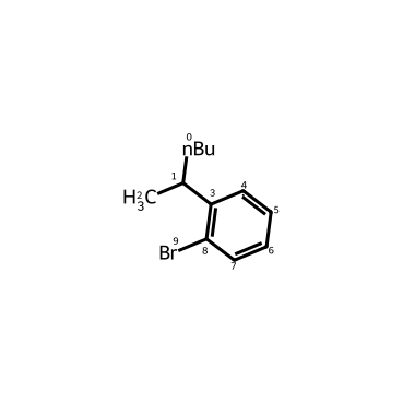 CCCCC(C)c1[c]cccc1Br